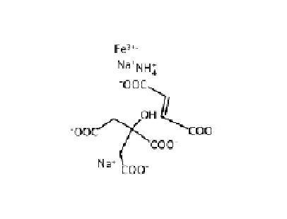 O=C([O-])/C=C/C(=O)[O-].O=C([O-])CC(O)(CC(=O)[O-])C(=O)[O-].[Fe+3].[NH4+].[Na+].[Na+]